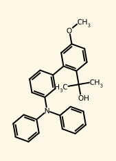 COc1ccc(C(C)(C)O)c(-c2cccc(N(c3ccccc3)c3ccccc3)c2)c1